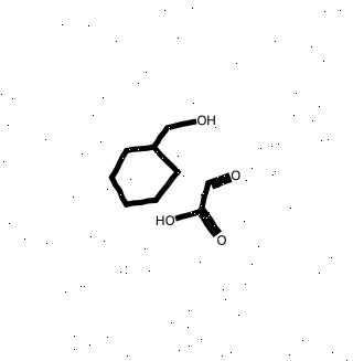 O=CC(=O)O.OCC1CCCCC1